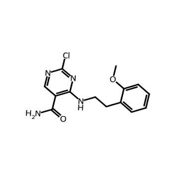 COc1ccccc1CCNc1nc(Cl)ncc1C(N)=O